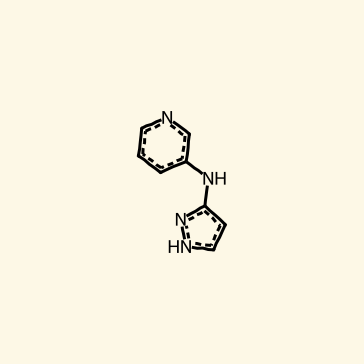 c1cncc(Nc2cc[nH]n2)c1